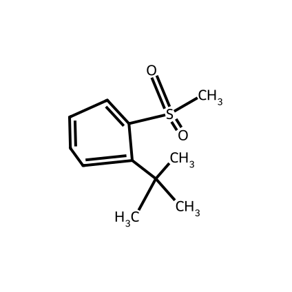 CC(C)(C)c1ccccc1S(C)(=O)=O